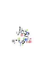 CC[C@@H](Nc1cc(F)c(C(=O)N[C@@H](Cc2ccc(-c3c(C(F)(F)F)cc(C)n(C)c3=O)c3nccn23)C(=O)O)cc1F)C(F)(F)F